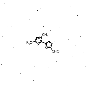 Cn1cc(C(F)(F)F)nc1-c1ccc(C=O)o1